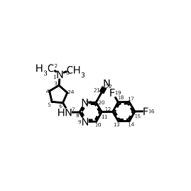 CN(C)C1CCC(Nc2ncc(-c3ccc(F)cc3F)c(C#N)n2)C1